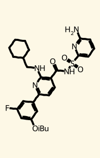 CC(C)COc1cc(F)cc(-c2ccc(C(=O)NS(=O)(=O)c3cccc(N)n3)c(NCC3CCCCC3)n2)c1